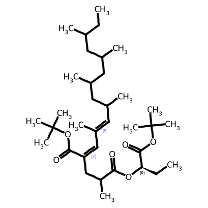 CCC(C)CC(C)CC(C)CC(C)/C=C(C)/C=C(/CC(C)C(=O)O[C@H](CC)C(=O)OC(C)(C)C)C(=O)OC(C)(C)C